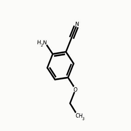 CCOc1ccc(N)c(C#N)c1